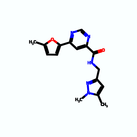 Cc1ccc(-c2cc(C(=O)NCc3cc(C)n(C)n3)ncn2)o1